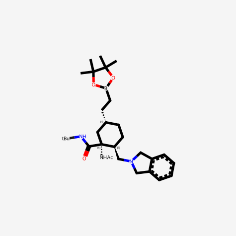 CC(=O)N[C@]1(C(=O)NC(C)(C)C)C[C@H](CCB2OC(C)(C)C(C)(C)O2)CC[C@H]1CN1Cc2ccccc2C1